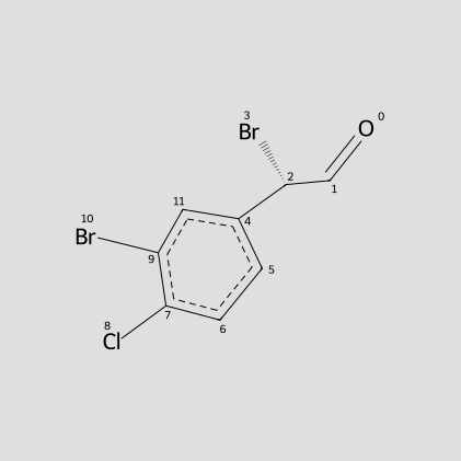 O=C[C@@H](Br)c1ccc(Cl)c(Br)c1